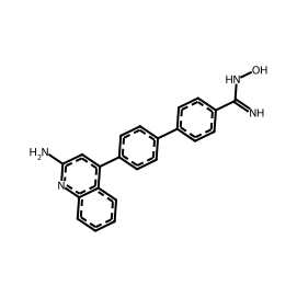 N=C(NO)c1ccc(-c2ccc(-c3cc(N)nc4ccccc34)cc2)cc1